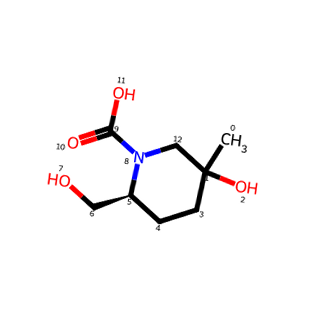 CC1(O)CC[C@@H](CO)N(C(=O)O)C1